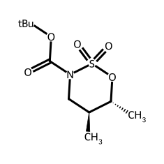 C[C@H]1CN(C(=O)OC(C)(C)C)S(=O)(=O)O[C@@H]1C